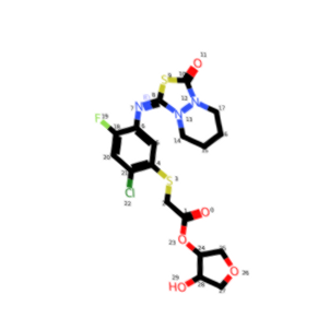 O=C(CSc1cc(/N=c2/sc(=O)n3n2CCCC3)c(F)cc1Cl)OC1COCC1O